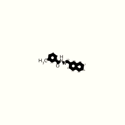 Cc1cccc(C(=O)N/N=C/c2ccc3ccccc3c2)c1